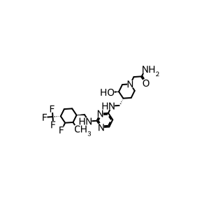 CC1C(F)[C@H](C(F)(F)F)CC[C@H]1CNc1nccc(NC[C@H]2CCN(CC(N)=O)C[C@@H]2O)n1